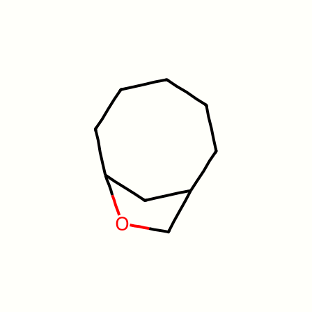 C1CCC2COC(CC1)C2